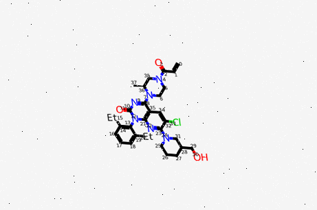 C=CC(=O)N1CCN(c2nc(=O)n(-c3c(CC)cccc3CC)c3nc(N4CCCC(CO)C4)c(Cl)cc23)[C@@H](C)C1